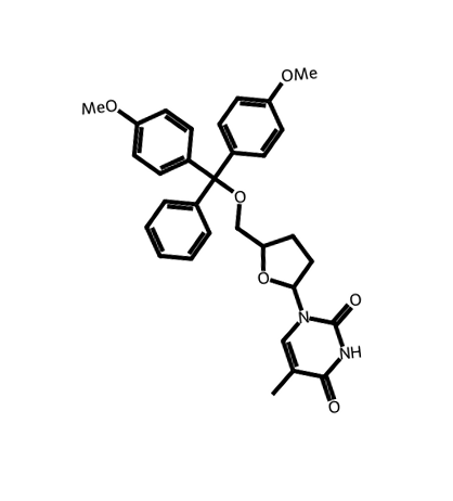 COc1ccc(C(OCC2CCC(n3cc(C)c(=O)[nH]c3=O)O2)(c2ccccc2)c2ccc(OC)cc2)cc1